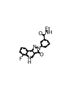 CCNC(=O)c1cccc(-n2nc3c4cccc(F)c4[nH]cc-3c2=O)c1